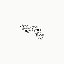 Clc1ccc2c(N[C@H]3CC[C@@H](Nc4cnc5ccccc5c4)CC3)ccnc2c1